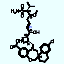 CO[C@@H](C/C=C/[C@H](O)[C@@H]1CC[C@H]1CN1C[C@@]2(CCCc3cc(Cl)ccc32)COc2ccc(C(=O)O)cc21)[C@@H](C(C)C)S(N)(=O)=O